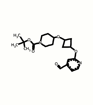 CC(C)(C)OC(=O)N1CCC(OC2CC(Oc3cc(C=O)ccn3)C2)CC1